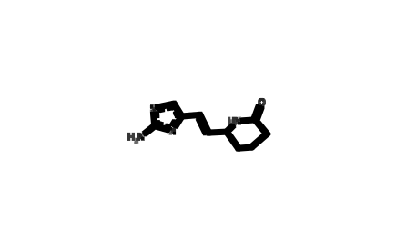 Nc1nc(/C=C/C2CCCC(=O)N2)cs1